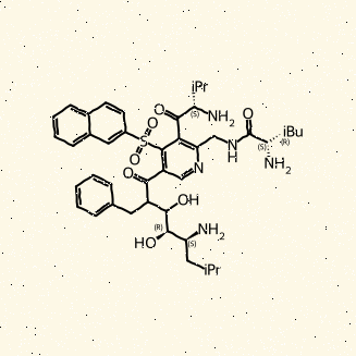 CC[C@@H](C)[C@H](N)C(=O)NCc1ncc(C(=O)C(Cc2ccccc2)C(O)[C@H](O)[C@@H](N)CC(C)C)c(S(=O)(=O)c2ccc3ccccc3c2)c1C(=O)[C@@H](N)C(C)C